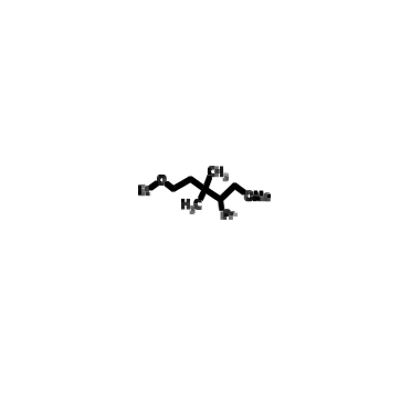 CCOCCC(C)(C)C(COC)[C](C)C